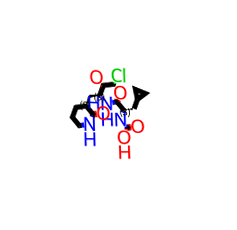 O=C(O)N[C@@H](CC1CC1)C(=O)N[C@@H](C[C@@H]1CCCNC1=O)C(=O)CCl